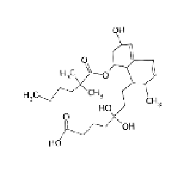 CCCCC(C)(C)C(=O)OC1CC(O)C=C2C=CC(C)C(CCC(O)(O)CCCC(=O)O)C21